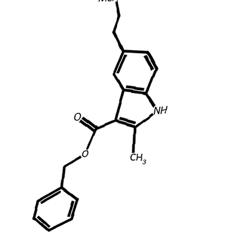 CNCCc1ccc2[nH]c(C)c(C(=O)OCc3ccccc3)c2c1